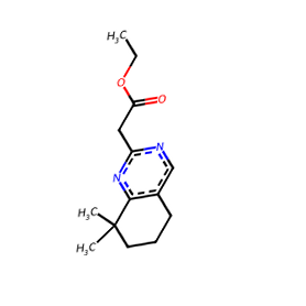 CCOC(=O)Cc1ncc2c(n1)C(C)(C)CCC2